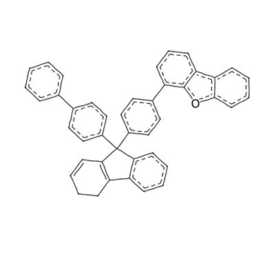 C1=CC2=C(CC1)c1ccccc1C2(c1ccc(-c2ccccc2)cc1)c1ccc(-c2cccc3c2oc2ccccc23)cc1